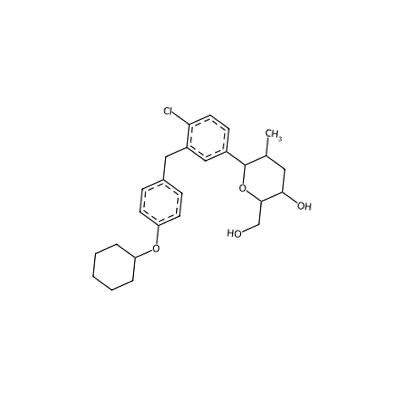 CC1CC(O)C(CO)OC1c1ccc(Cl)c(Cc2ccc(OC3CCCCC3)cc2)c1